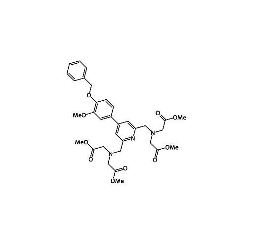 COC(=O)CN(CC(=O)OC)Cc1cc(-c2ccc(OCc3ccccc3)c(OC)c2)cc(CN(CC(=O)OC)CC(=O)OC)n1